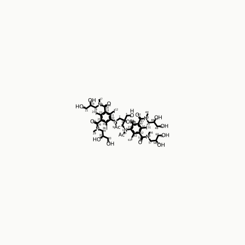 CC(=O)N(CC(O)(CO)CN(C(C)=O)c1c(I)c(C(=O)N(C)CC(O)CO)c(I)c(C(=O)N(C)CC(O)CO)c1I)c1c(I)c(C(=O)N(C)CC(O)CO)c(I)c(C(=O)N(C)CC(O)CO)c1I